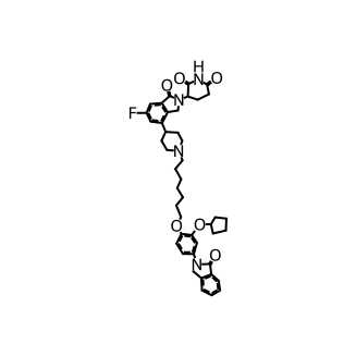 O=C1CCC(N2Cc3c(cc(F)cc3C3CCN(CCCCCCCOc4ccc(N5Cc6ccccc6C5=O)cc4OC4CCCC4)CC3)C2=O)C(=O)N1